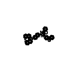 c1ccc2c(c1)oc1ccc(-c3nc(-c4ccc5cc(-n6c7ccc8cccc9sc%10cccc%11ccc6c(c%11%10)c7c89)ccc5c4)nc4c3oc3ccccc34)cc12